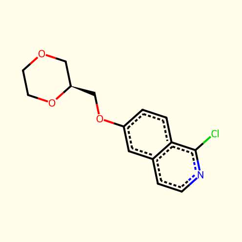 Clc1nccc2cc(OC[C@@H]3COCCO3)ccc12